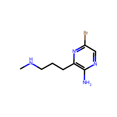 CNCCCc1nc(Br)cnc1N